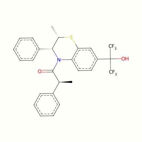 C[C@H](C(=O)N1c2ccc(C(O)(C(F)(F)F)C(F)(F)F)cc2S[C@@H](C)[C@H]1c1ccccc1)c1ccccc1